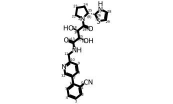 N#Cc1ccccc1-c1ccc(CNC(=O)[C@H](O)[C@@H](O)C(=O)N2CCC[C@@H]2C2NC=CS2)nc1